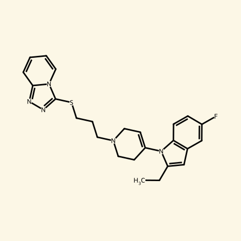 CCc1cc2cc(F)ccc2n1C1=CCN(CCCSc2nnc3ccccn23)CC1